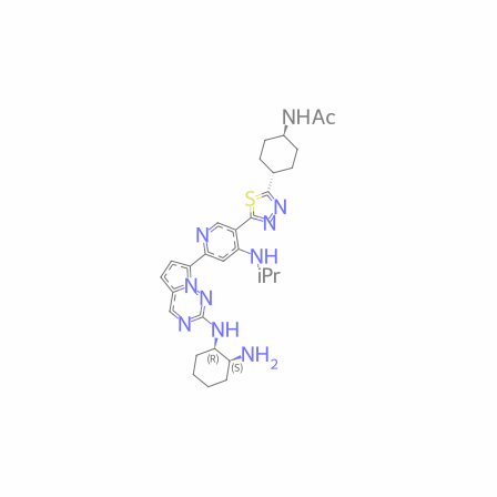 CC(=O)N[C@H]1CC[C@H](c2nnc(-c3cnc(-c4ccc5cnc(N[C@@H]6CCCC[C@@H]6N)nn45)cc3NC(C)C)s2)CC1